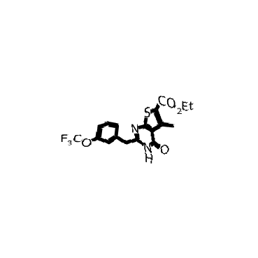 CCOC(=O)c1sc2nc(Cc3cccc(OC(F)(F)F)c3)[nH]c(=O)c2c1C